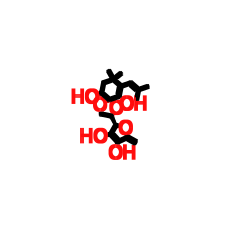 C=C1O[C@H](C2COC3(O2)C(O)=C(C=C(C)C)C(C)(C)CC3O)C(O)=C1O